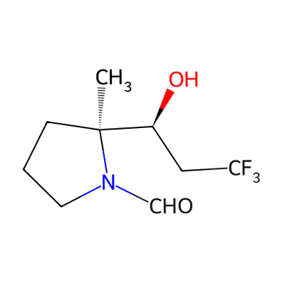 C[C@@]1([C@@H](O)CC(F)(F)F)CCCN1C=O